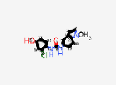 Cn1ccc2cc(NC(=O)Nc3ccc(O)cc3Cl)ccc21